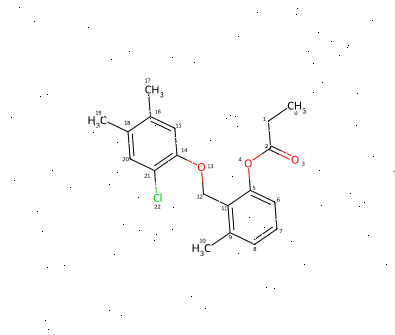 CCC(=O)Oc1cccc(C)c1COc1cc(C)c(C)cc1Cl